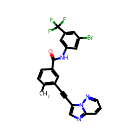 Cc1ccc(C(=O)Nc2cc(Br)cc(C(F)(F)F)c2)cc1C#Cc1cnc2cccnn12